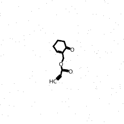 C#CC(=O)OCC1=CCCCC1=O